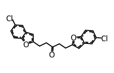 O=C(CCc1cc2cc(Cl)ccc2o1)CCc1cc2cc(Cl)ccc2o1